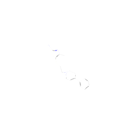 Cc1nc(N)sc1SCCN1CC=C(c2ccccc2)CC1.Cl